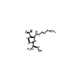 CCOCCNc1nc(C(N)=NO)ccc1[N+](=O)[O-]